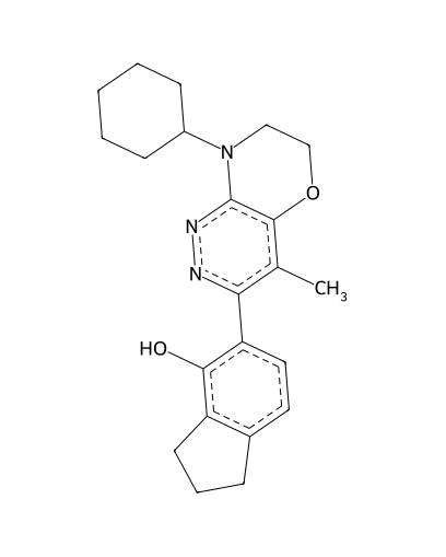 Cc1c(-c2ccc3c(c2O)CCC3)nnc2c1OCCN2C1CCCCC1